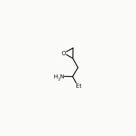 [CH2]CC(N)CC1CO1